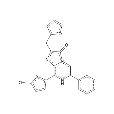 O=c1c(Cc2ccco2)nc2c(-c3ccc(Cl)s3)[nH]c(-c3ccccc3)cn1-2